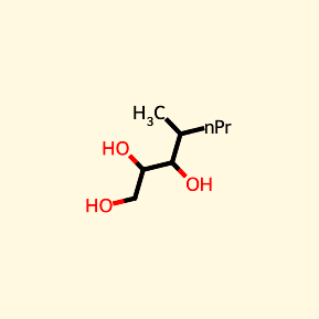 CCCC(C)C(O)C(O)CO